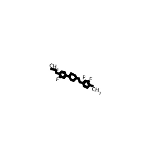 CCCCc1ccc(C2CCC(CCc3ccc(CC)c(F)c3F)CC2)cc1F